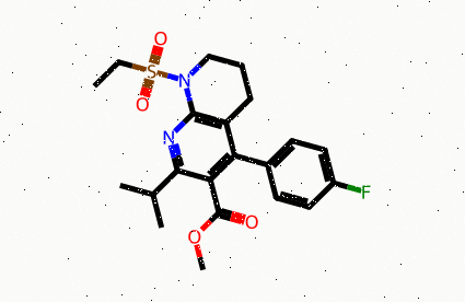 CCS(=O)(=O)N1CCCc2c1nc(C(C)C)c(C(=O)OC)c2-c1ccc(F)cc1